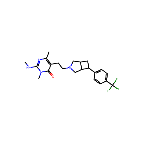 CNc1nc(C)c(CCN2CC3CC(c4ccc(C(F)(F)F)cc4)C3C2)c(=O)n1C